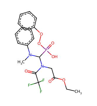 CCOC(=O)CN(C(=O)C(F)(F)F)C(N(C)c1ccccc1)P(=O)(O)OOc1ccccc1